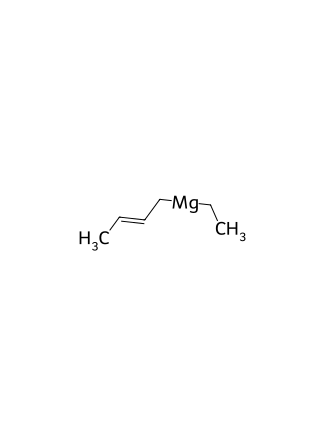 CC=C[CH2][Mg][CH2]C